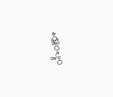 O=NC(C=Nc1ccc(S(=O)(=O)c2ncc(Br)cn2)cc1)Oc1ccccc1